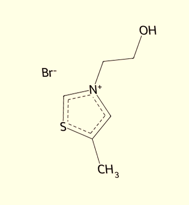 Cc1c[n+](CCO)cs1.[Br-]